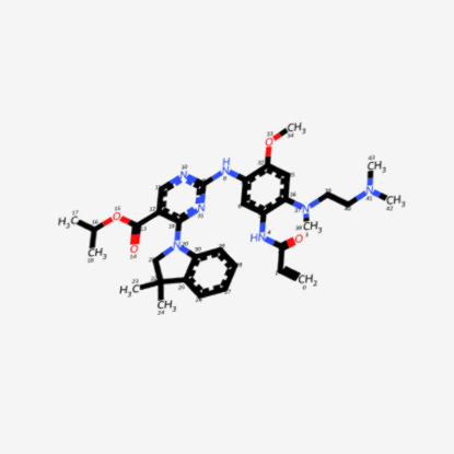 C=CC(=O)Nc1cc(Nc2ncc(C(=O)OC(C)C)c(N3CC(C)(C)c4ccccc43)n2)c(OC)cc1N(C)CCN(C)C